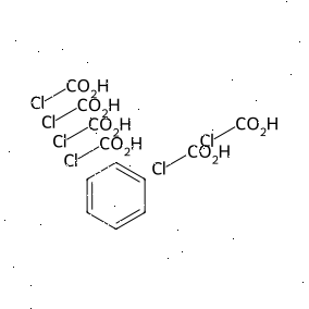 O=C(O)Cl.O=C(O)Cl.O=C(O)Cl.O=C(O)Cl.O=C(O)Cl.O=C(O)Cl.c1ccccc1